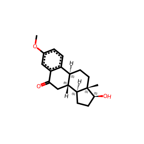 COc1ccc2c(c1)C(=O)C[C@@H]1[C@@H]2CC[C@]2(C)[C@@H](O)CC[C@@H]12